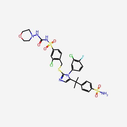 CC(C)(c1ccc(S(N)(=O)=O)cc1)c1cnc(SCc2ccc(S(=O)(=O)NC(=O)NN3CCOCC3)cc2Cl)n1-c1ccc(F)c(Cl)c1